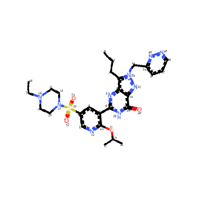 CCCc1c2nc(-c3cc(S(=O)(=O)N4CCN(CC)CC4)cnc3OC(C)C)[nH]c(=O)c2nn1Cc1cccnn1